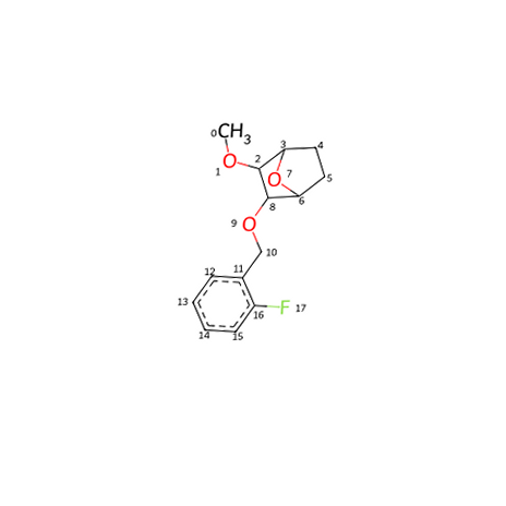 COC1C2CCC(O2)C1OCc1ccccc1F